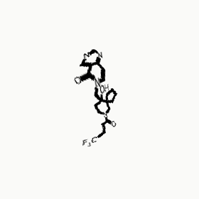 O=C(CCC(F)(F)F)N1CCC(O)(Cn2ccc3ncncc3c2=O)C2(CCCC2)C1